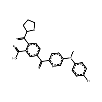 CN(c1ccc(Cl)cc1)c1ccc(C(=O)c2ccc(C(=O)C3CCCO3)c(C(=O)O)c2)nc1